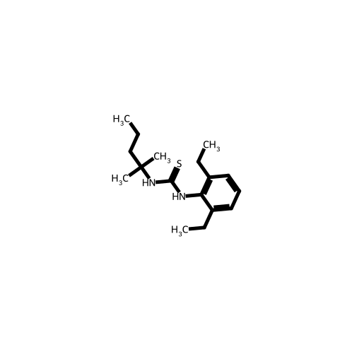 CCCC(C)(C)NC(=S)Nc1c(CC)cccc1CC